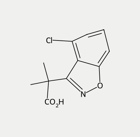 CC(C)(C(=O)O)c1noc2cccc(Cl)c12